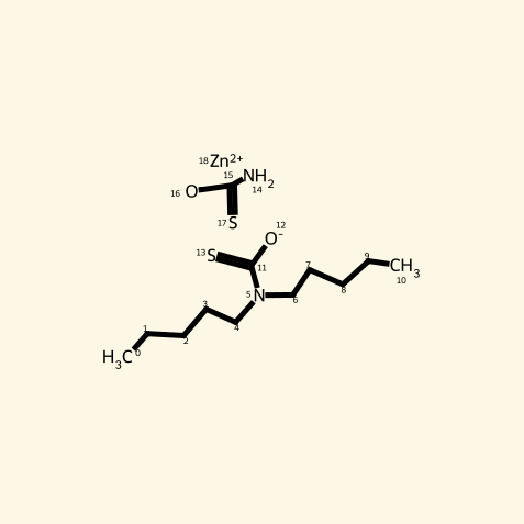 CCCCCN(CCCCC)C([O-])=S.NC([O-])=S.[Zn+2]